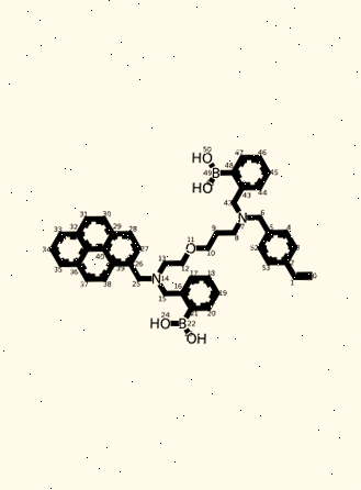 C=Cc1ccc(CN(CCCOCCN(Cc2ccccc2B(O)O)Cc2ccc3ccc4cccc5ccc2c3c45)Cc2ccccc2B(O)O)cc1